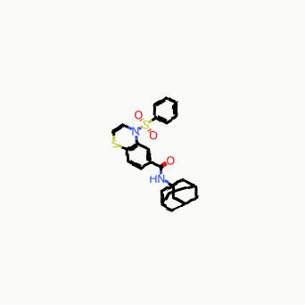 O=C(NC12CC3CC(CC(C3)C1)C2)c1ccc2c(c1)N(S(=O)(=O)c1ccccc1)CCS2